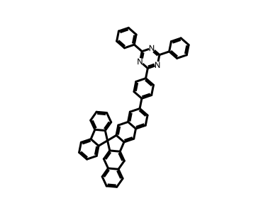 c1ccc(-c2nc(-c3ccccc3)nc(-c3ccc(-c4ccc5cc6c(cc5c4)C4(c5ccccc5-c5ccccc54)c4cc5ccccc5cc4-6)cc3)n2)cc1